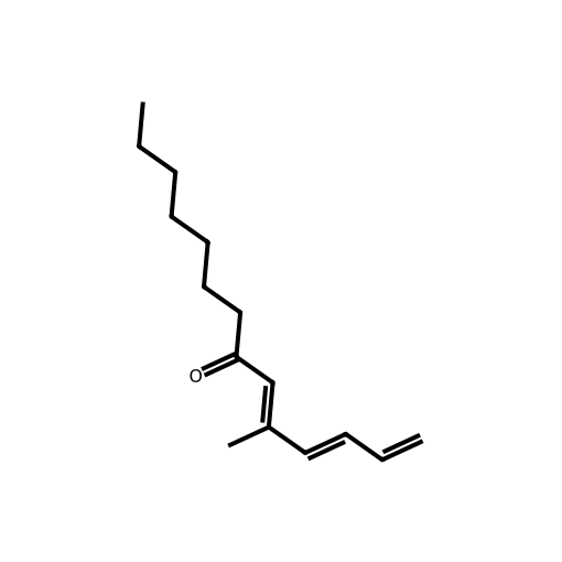 C=CC=CC(C)=CC(=O)CCCCCCC